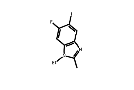 CCn1c(C)nc2cc(I)c(F)cc21